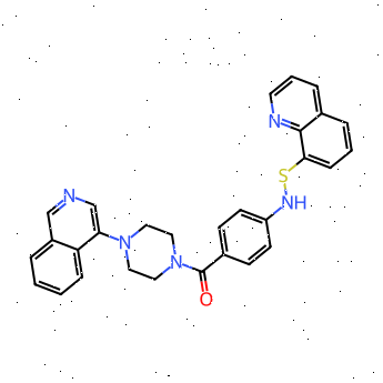 O=C(c1ccc(NSc2cccc3cccnc23)cc1)N1CCN(c2cncc3ccccc23)CC1